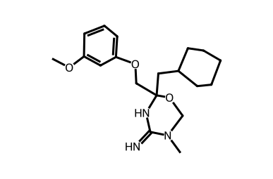 COc1cccc(OCC2(CC3CCCCC3)NC(=N)N(C)CO2)c1